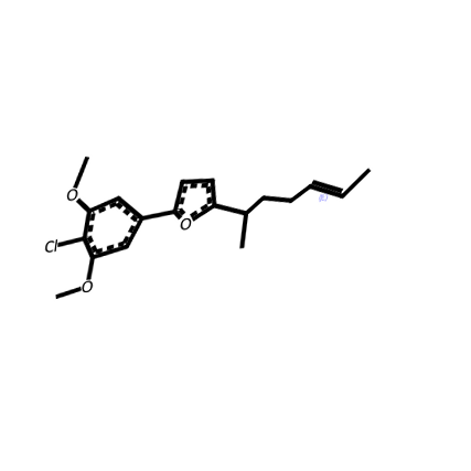 C/C=C/CCC(C)c1ccc(-c2cc(OC)c(Cl)c(OC)c2)o1